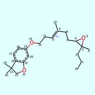 CCCC1(C)OC1CC/C(C)=C/CCOc1ccc2c(c1)OCC2(C)C